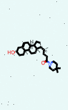 C[C@H](CCC(=O)N1CCC(C)(C)CC1)[C@H]1CCC2[C@@H]3CC=C4C[C@@H](O)CC[C@]4(C)C3CC[C@@]21C